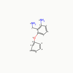 NCc1c(N)cccc1Oc1ccccc1